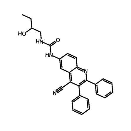 CCC(O)CNC(=O)Nc1ccc2nc(-c3ccccc3)c(-c3ccccc3)c(C#N)c2c1